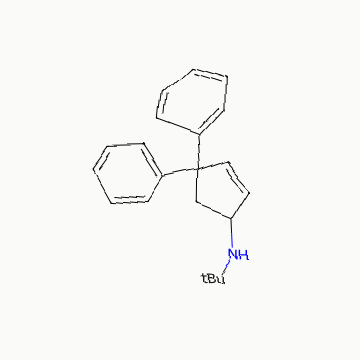 CC(C)(C)NC1C=CC(c2ccccc2)(c2ccccc2)C1